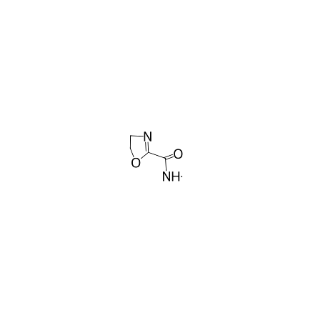 [NH]C(=O)C1=NCCO1